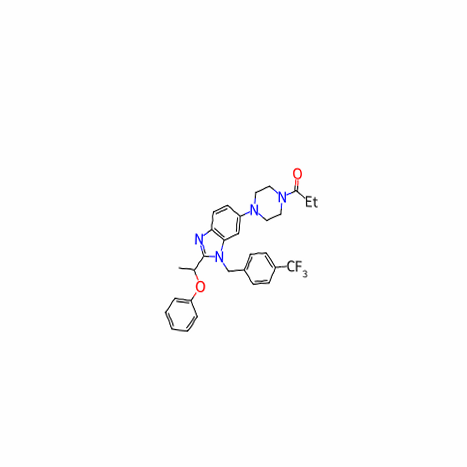 CCC(=O)N1CCN(c2ccc3nc(C(C)Oc4ccccc4)n(Cc4ccc(C(F)(F)F)cc4)c3c2)CC1